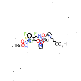 CC(C)(C)OC(=O)Nc1nc2c(-c3c(Cl)cc4c(N5CC6CCC(C5)N6C(=O)OC(C)(C)C)nc(OC[C@@H]5CCCN5CCCCC(=O)O)nc4c3F)ccc(F)c2s1